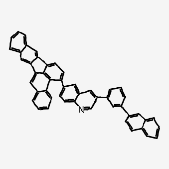 c1cc(-c2ccc3ccccc3c2)cc(-c2cnc3ccc(-c4ccc5c6c(cc7ccccc7c46)-c4cc6ccccc6cc4-5)cc3c2)c1